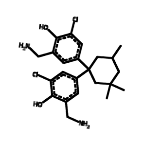 CC1CC(C)(C)CC(c2cc(Cl)c(O)c(CN)c2)(c2cc(Cl)c(O)c(CN)c2)C1